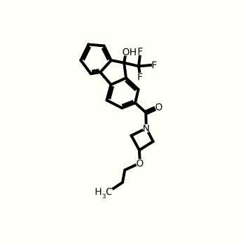 CCCOC1CN(C(=O)c2ccc3c(c2)C(O)(C(F)(F)F)c2ccccc2-3)C1